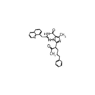 CC(=O)C(CCCc1ccccc1)c1nc(C)c2c(=O)[nH]c(Cc3cccc4cccnc34)nn12